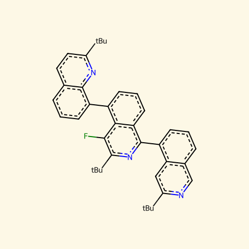 CC(C)(C)c1cc2c(-c3nc(C(C)(C)C)c(F)c4c(-c5cccc6ccc(C(C)(C)C)nc56)cccc34)cccc2cn1